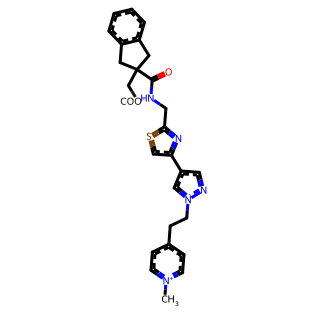 C[n+]1ccc(CCn2cc(-c3csc(CNC(=O)C4(CC(=O)[O-])Cc5ccccc5C4)n3)cn2)cc1